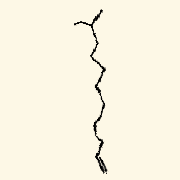 [CH]=CCCCCCCCC(C)C